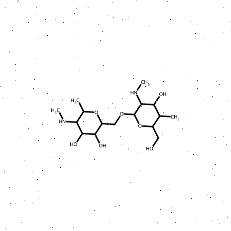 CNC1C(C)OC(COC2OC(CO)C(C)C(O)C2NC)C(O)C1O